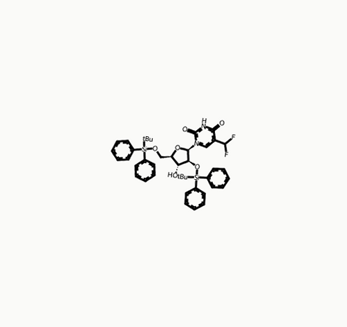 CC(C)(C)[Si](OC[C@H]1O[C@@H](n2cc(C(F)F)c(=O)[nH]c2=O)[C@@H](O[Si](c2ccccc2)(c2ccccc2)C(C)(C)C)[C@@H]1O)(c1ccccc1)c1ccccc1